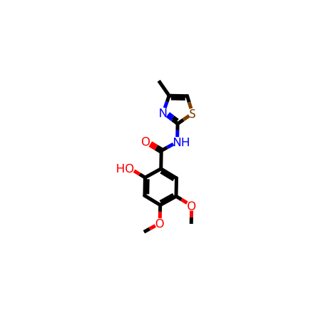 COc1cc(O)c(C(=O)Nc2nc(C)cs2)cc1OC